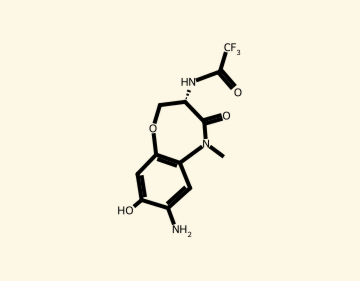 CN1C(=O)[C@@H](NC(=O)C(F)(F)F)COc2cc(O)c(N)cc21